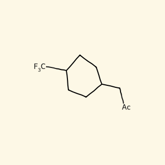 CC(=O)CC1CCC(C(F)(F)F)CC1